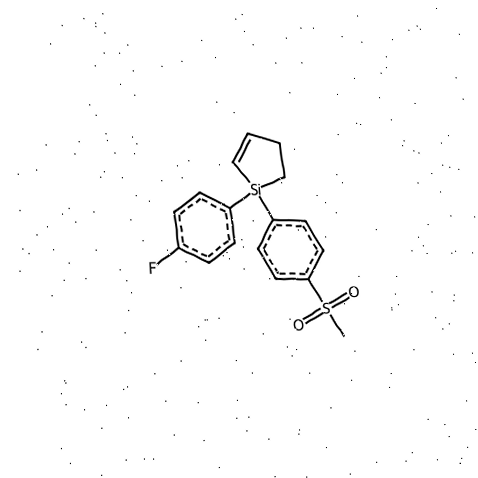 CS(=O)(=O)c1ccc([Si]2(c3ccc(F)cc3)C=CCC2)cc1